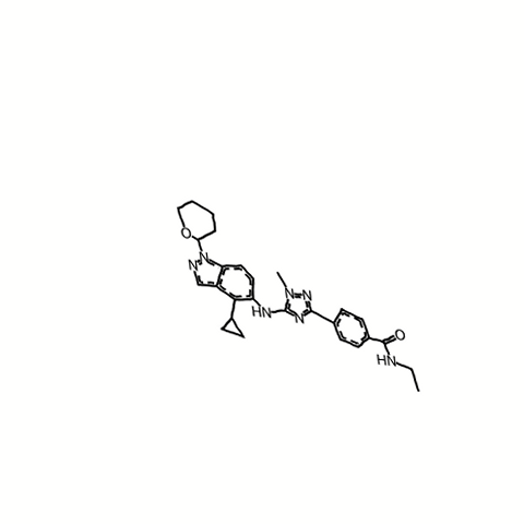 CCNC(=O)c1ccc(-c2nc(Nc3ccc4c(cnn4C4CCCCO4)c3C3CC3)n(C)n2)cc1